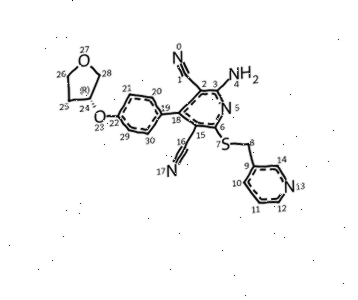 N#Cc1c(N)nc(SCc2cccnc2)c(C#N)c1-c1ccc(O[C@@H]2CCOC2)cc1